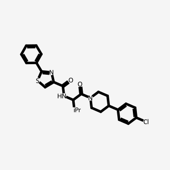 CC(C)C(NC(=O)c1csc(-c2ccccc2)n1)C(=O)N1CCC(c2ccc(Cl)cc2)CC1